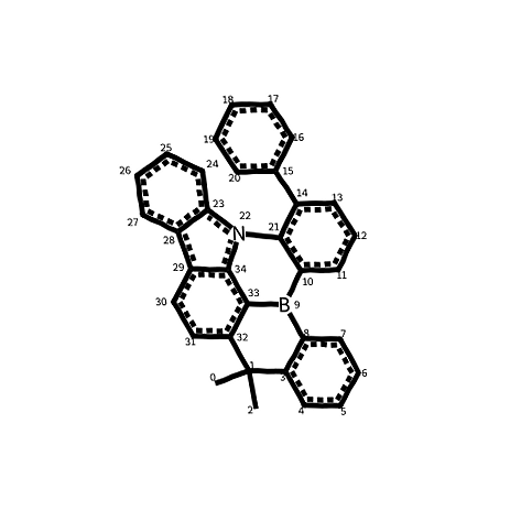 CC1(C)c2ccccc2B2c3cccc(-c4ccccc4)c3-n3c4ccccc4c4ccc1c2c43